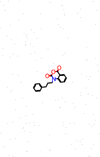 O=c1oc(=O)n(CCCc2ccccc2)c2ccccc12